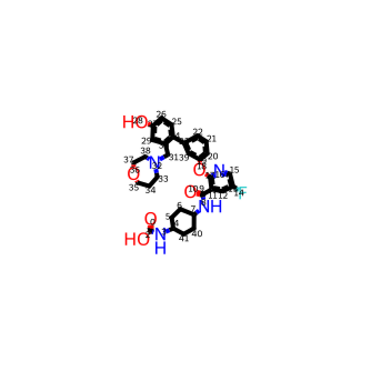 O=C(O)NC1CCC(NC(=O)c2cc(F)cnc2Oc2cccc(-c3ccc(O)cc3CN3CCCOCC3)c2)CC1